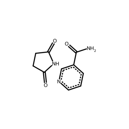 NC(=O)c1cccnc1.O=C1CCC(=O)N1